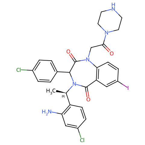 C[C@H](c1ccc(Cl)cc1N)N1C(=O)c2cc(I)ccc2N(CC(=O)N2CCNCC2)C(=O)C1c1ccc(Cl)cc1